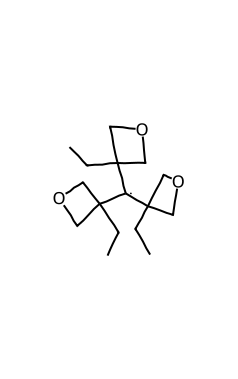 CCC1([C](C2(CC)COC2)C2(CC)COC2)COC1